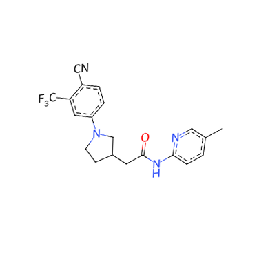 Cc1ccc(NC(=O)CC2CCN(c3ccc(C#N)c(C(F)(F)F)c3)C2)nc1